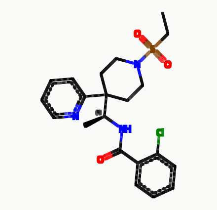 CCS(=O)(=O)N1CCC(c2ccccn2)([C@H](C)NC(=O)c2ccccc2Cl)CC1